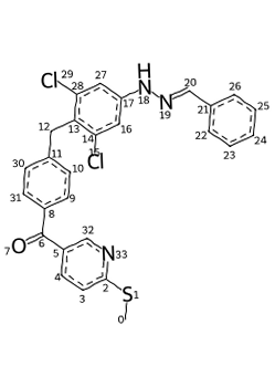 CSc1ccc(C(=O)c2ccc(Cc3c(Cl)cc(NN=Cc4ccccc4)cc3Cl)cc2)cn1